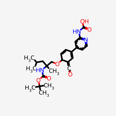 CC(C)CC(C)(COC1C=CC(c2ccnc(NC(=O)O)c2)=CC1=C=O)NC(=O)OC(C)(C)C